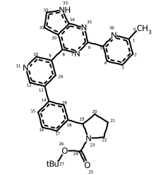 Cc1cccc(-c2nc(-c3cncc(-c4cccc(C5CCCN5C(=O)OC(C)(C)C)c4)c3)c3cc[nH]c3n2)n1